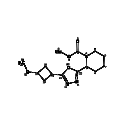 CC(C)(C)OC(=O)N1CCCCC1c1nnc(C2CC(OC(F)(F)F)C2)o1